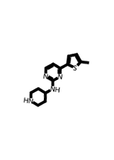 Cc1ccc(-c2ccnc(NC3CCNCC3)n2)s1